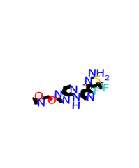 C[C@]1(CF)C[C@@](C)(c2cc(Nc3nccc4nc(OCc5ncco5)cnc34)cnc2F)N=C(N)S1